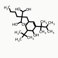 CCCCC(CC1C=C(C(C)(C)C(C)C)C(O)C(C(C)(C)C)C1)(C(O)O)C(O)O